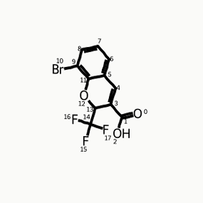 O=C(O)C1=Cc2cccc(Br)c2OC1C(F)(F)F